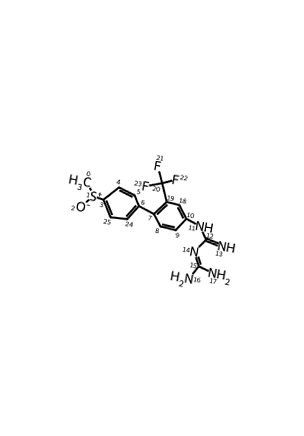 C[S+]([O-])c1ccc(-c2ccc(NC(=N)N=C(N)N)cc2C(F)(F)F)cc1